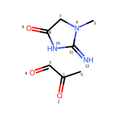 CC(=O)C=O.CN1CC(=O)NC1=N